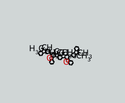 CC1(C)c2ccccc2-c2cc(-c3cc4c(c5c3oc3ccccc35)-c3ccc5c(c3C4(C)C)C(C)(C)c3cc(-c4ccc6c(c4)-c4ccccc4C6(C)C)c4c(oc6ccccc64)c3-5)ccc21